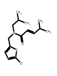 CC(C)/C=C/C(=O)N(Cc1ccc(Cl)s1)CC(C)C